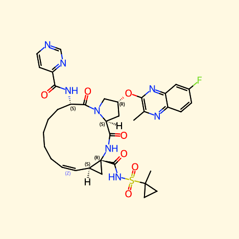 Cc1nc2ccc(F)cc2nc1O[C@@H]1C[C@H]2C(=O)N[C@]3(C(=O)NS(=O)(=O)C4(C)CC4)C[C@H]3/C=C\CCCCC[C@H](NC(=O)c3ccncn3)C(=O)N2C1